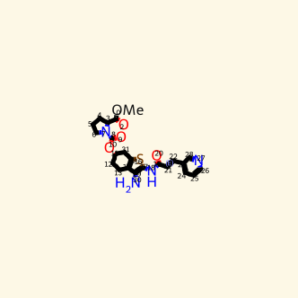 COC(=O)C1CCCN1C(=O)OC1CCc2c(sc(NC(=O)/C=C/c3cccnc3)c2N)C1